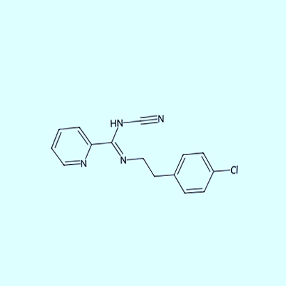 N#CN/C(=N\CCc1ccc(Cl)cc1)c1ccccn1